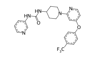 O=C(Nc1cccnc1)NC1CCN(c2cc(Oc3ccc(C(F)(F)F)cc3)ccn2)CC1